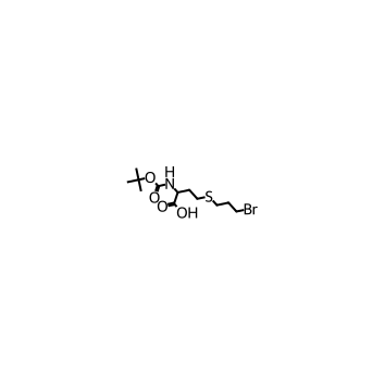 CC(C)(C)OC(=O)NC(CCSCCCBr)C(=O)O